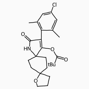 Cc1cc(Cl)cc(C)c1C1=C(OC(=O)C(C)(C)C)C2(CCC3(CCCO3)CC2)NC1=O